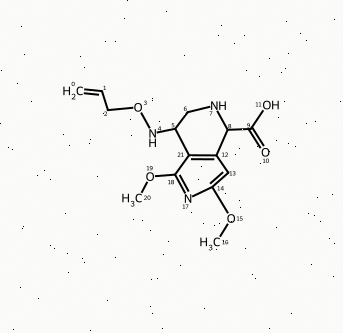 C=CCONC1CNC(C(=O)O)c2cc(OC)nc(OC)c21